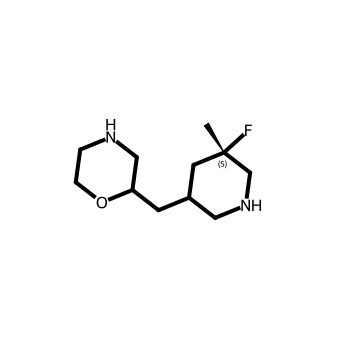 C[C@@]1(F)CNCC(CC2CNCCO2)C1